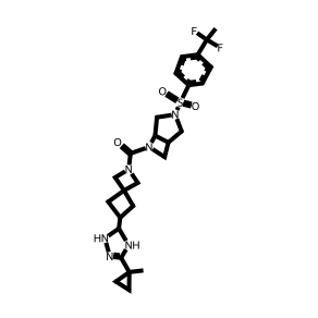 CC1(C2=NNC(C3CC4(C3)CN(C(=O)N3CC5CN(S(=O)(=O)c6ccc(C(C)(F)F)cc6)CC53)C4)N2)CC1